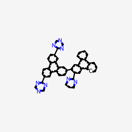 c1cnc(-c2cc3c4ccccc4c4ccccc4c3cc2-c2ccc3c4cc(-c5ncncn5)ccc4c4ccc(-c5ncncn5)cc4c3c2)nc1